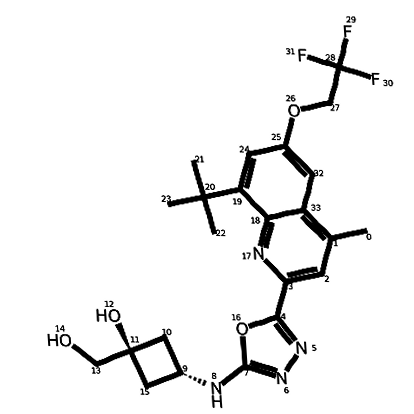 Cc1cc(-c2nnc(N[C@H]3C[C@@](O)(CO)C3)o2)nc2c(C(C)(C)C)cc(OCC(F)(F)F)cc12